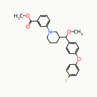 COC(=O)c1cccc(N2CCCC(C(OC)c3ccc(Oc4ccc(F)cc4)cc3)C2)c1